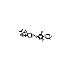 CC(C)S(=O)(=O)NC1CCC(CNc2cc(F)c(N3C[C@@H](C)O[C@@H](C)C3)c(F)c2)CC1